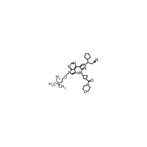 C[Si](C)(C)CCOCn1ccc2c(-c3cn(C(CC#N)C4CCCC4)nc3NC3CC(C(=O)N4CCOCC4)C3)ncnc21